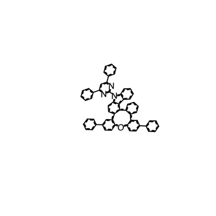 c1ccc(-c2ccc3oc4ccc(-c5ccccc5)cc4c4ccc5c(c6ccccc6n5-c5nc(-c6ccccc6)cc(-c6ccccc6)n5)c4c4ccccc4c3c2)cc1